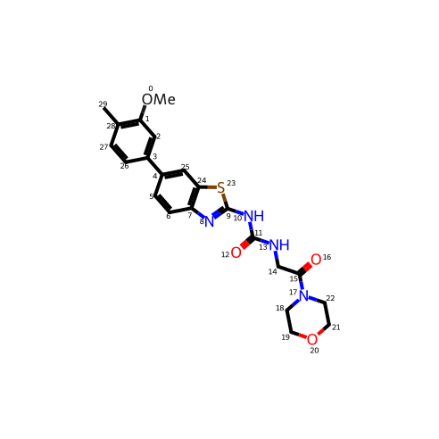 COc1cc(-c2ccc3nc(NC(=O)NCC(=O)N4CCOCC4)sc3c2)ccc1C